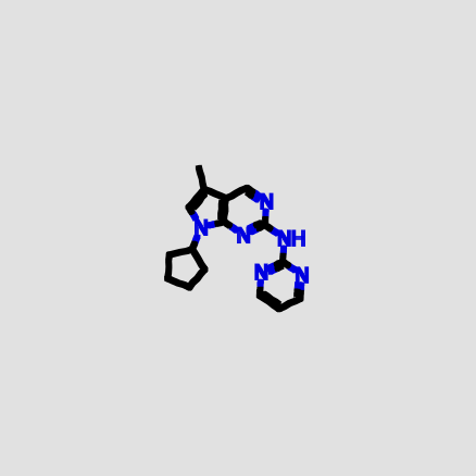 Cc1cn(C2CCCC2)c2nc(Nc3ncccn3)ncc12